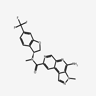 CN(C(=O)c1cc2c(cn1)nc(N)c1c2cnn1C)[C@@H]1COc2cc(C(F)(F)F)ccc21